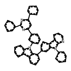 c1ccc(-c2cc(-c3cccc(-n4c5ccccc5c5cccc(-c6ccc7c8cccnc8n(-c8ccccc8)c7c6)c54)c3)nc(-c3ccccc3)n2)cc1